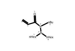 C=CC(=O)N(CCCC)N(CCCCCC)CCCCCC